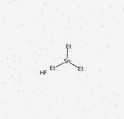 C[CH2][Sn]([CH2]C)[CH2]C.F